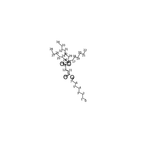 CCCCCCCCOC(=O)C=CC(=O)O[Si](CCCCCC)(CCCCCC)CCCCCC